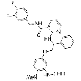 CNc1ccc(OCC(Nc2ncccc2C(=O)NCc2ccc(F)c(F)c2)c2ccccc2)cc1NC=O